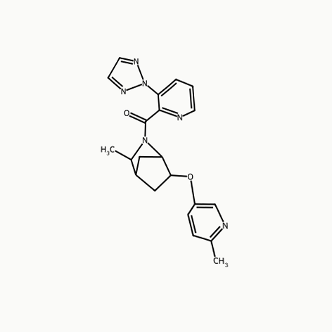 Cc1ccc(OC2CC3CC2N(C(=O)c2ncccc2-n2nccn2)C3C)cn1